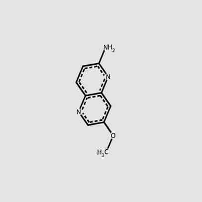 COc1cnc2ccc(N)nc2c1